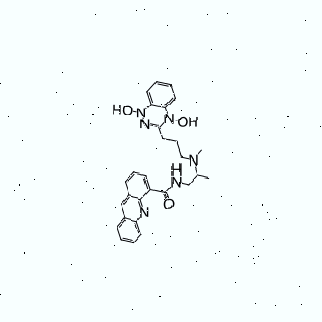 CC(CNC(=O)c1cccc2cc3ccccc3nc12)N(C)CCCC1=NN(O)c2ccccc2N1O